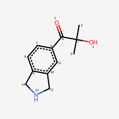 CC(C)(O)C(=O)c1ccc2c(c1)CNC2